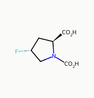 O=C(O)[C@@H]1C[C@@H](F)CN1C(=O)O